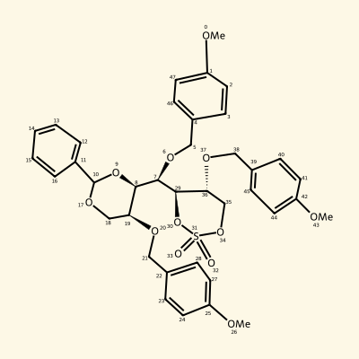 COc1ccc(CO[C@H]([C@@H]2OC(c3ccccc3)OC[C@@H]2OCc2ccc(OC)cc2)[C@@H]2OS(=O)(=O)OC[C@H]2OCc2ccc(OC)cc2)cc1